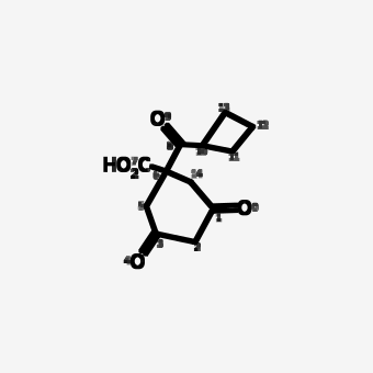 O=C1CC(=O)CC(C(=O)O)(C(=O)C2CCC2)C1